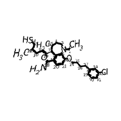 CCN1CC[C@@H](C)[C@H](/C=C/C[C@H](C)CS)c2c(C(N)=O)ccc(OCCCCc3cccc(Cl)c3)c21